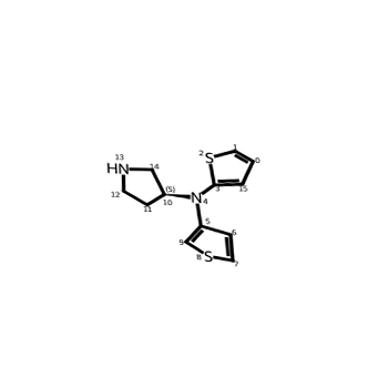 c1csc(N(c2ccsc2)[C@H]2CCNC2)c1